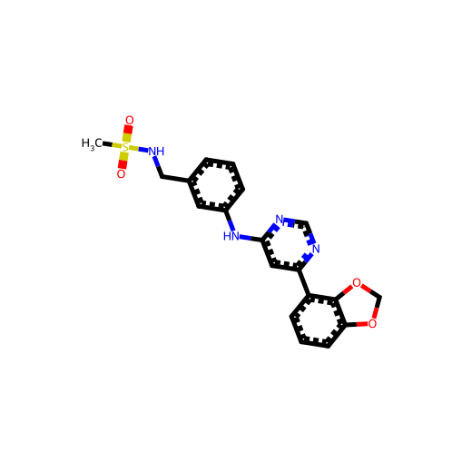 CS(=O)(=O)NCc1cccc(Nc2cc(-c3cccc4c3OCO4)ncn2)c1